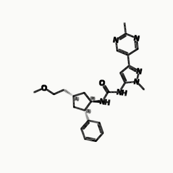 COCC[C@@H]1C[C@@H](NC(=O)Nc2cc(-c3cnc(C)nc3)nn2C)[C@H](c2ccccc2)C1